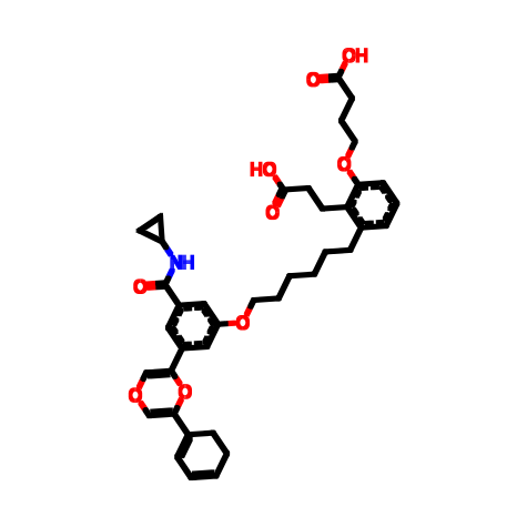 O=C(O)CCCOc1cccc(CCCCCCOc2cc(C(=O)NC3CC3)cc(C3=COC=C(C4=CC=CCC4)O3)c2)c1CCC(=O)O